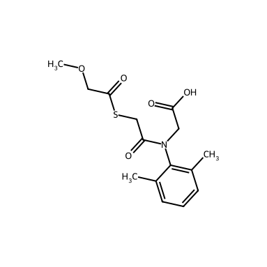 COCC(=O)SCC(=O)N(CC(=O)O)c1c(C)cccc1C